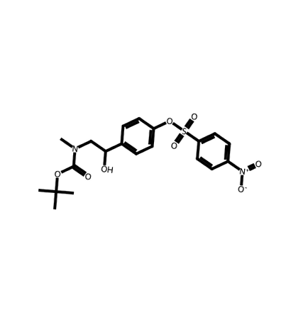 CN(CC(O)c1ccc(OS(=O)(=O)c2ccc([N+](=O)[O-])cc2)cc1)C(=O)OC(C)(C)C